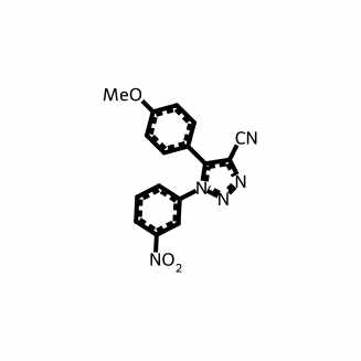 COc1ccc(-c2c(C#N)nnn2-c2cccc([N+](=O)[O-])c2)cc1